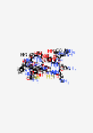 CC(C)C[C@H](NN[C@@H](CS)C(=O)NC(CCCCN)C(=O)N[C@@H](CCCCN)C(=O)NC(Cc1ccc(O)cc1)C(=O)N[C@@H](CCCNC(=N)N)C(=O)NC(CO)C(=O)O)C(=O)C(=O)[C@@H](NC(=O)C(CC(N)=O)NC(=O)[C@H](CO)NC(=O)C(CO)NC(=O)[C@H](CC(=O)O)NC(=O)C(CC(=O)O)NNC(=O)C(Cc1ccccc1)CC(O)C(Cc1ccc(O)cc1)NC(=O)N[C@@H](CS)C(N)=O)C(C)C